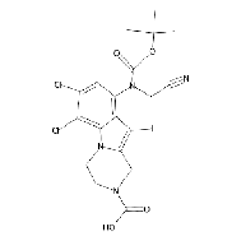 CC(C)(C)OC(=O)N(CC#N)c1cc(Cl)c(Cl)c2c1c(I)c1n2CCN(C(=O)O)C1